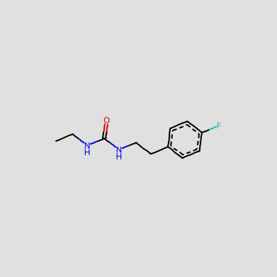 CCNC(=O)NCCc1ccc(F)cc1